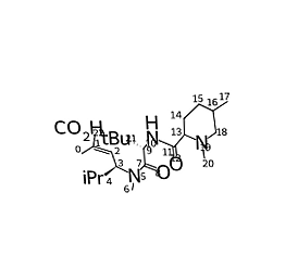 C/C(=C\[C@H](C(C)C)N(C)C(=O)[C@@H](NC(=O)C1CCC(C)CN1C)C(C)(C)C)C(=O)O